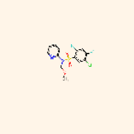 COCN(c1ccccn1)S(=O)(=O)c1cc(Cl)c(F)cc1F